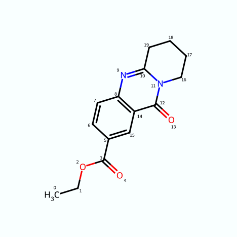 CCOC(=O)c1ccc2nc3n(c(=O)c2c1)CCCC3